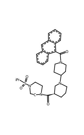 CC(C)S(=O)(=O)N1CCN(C(=O)[C@@H]2CCCN(C3CCN(C(=O)c4c5ccccc5cc5ccccc45)CC3)C2)CC1